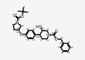 CC(C)(C)OC(=O)N1CC[C@H](Oc2ccc(C3CCN(C(=O)OCc4ccccc4)CC3O)cc2)C1